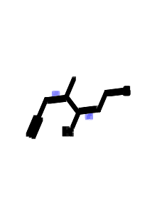 C#C/C=C(C)\C(=C/C=S)CC